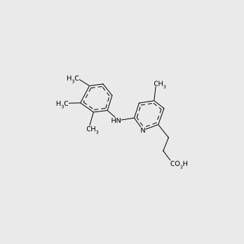 Cc1cc(CCC(=O)O)nc(Nc2ccc(C)c(C)c2C)c1